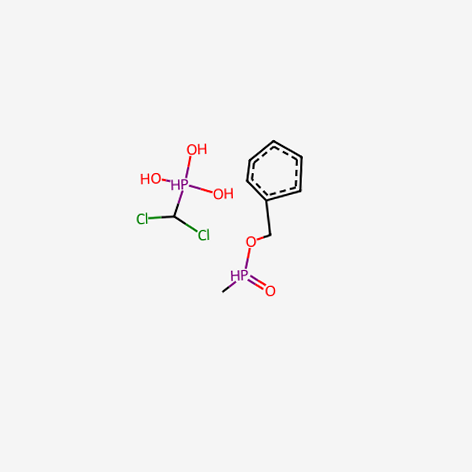 C[PH](=O)OCc1ccccc1.O[PH](O)(O)C(Cl)Cl